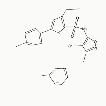 CCc1cc(-c2ccc(C)cc2)sc1S(=O)(=O)Nc1onc(C)c1Br.Cc1ccccc1